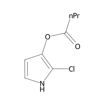 CCCC(=O)Oc1cc[nH]c1Cl